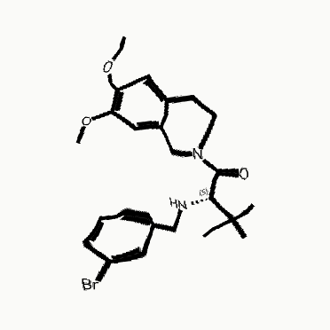 COc1cc2c(cc1OC)CN(C(=O)[C@@H](NCc1cccc(Br)c1)C(C)(C)C)CC2